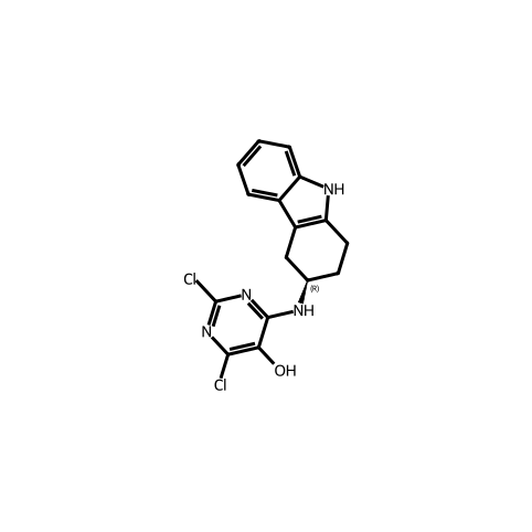 Oc1c(Cl)nc(Cl)nc1N[C@@H]1CCc2[nH]c3ccccc3c2C1